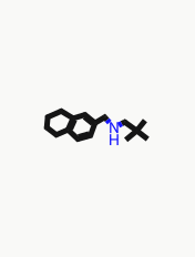 CC(C)(C)CNCc1ccc2c(c1)CCCC2